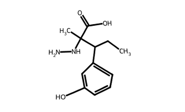 CCC(c1cccc(O)c1)C(C)(NN)C(=O)O